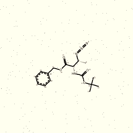 C[C@@H](N=[N+]=[N-])[C@H](NC(=O)OC(C)(C)C)C(=O)OCc1ccccc1